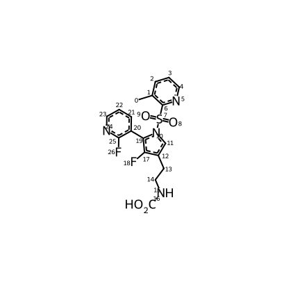 Cc1cccnc1S(=O)(=O)n1cc(CCNC(=O)O)c(F)c1-c1cccnc1F